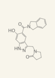 O=C1CCCN1Cc1n[nH]c2cc(O)c(C(=O)N3Cc4ccccc4C3)cc12